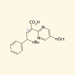 CCCCCCCCc1cnc(/C(=C\C(CCCC)c2ccccc2)C(=O)O)nc1